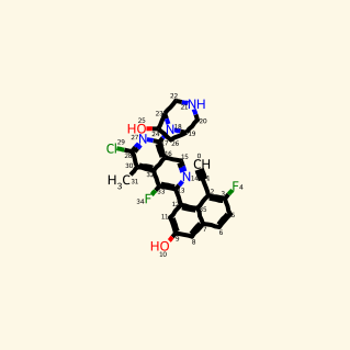 C#Cc1c(F)ccc2cc(O)cc(-c3ncc4c(N5C6CNCC5C(O)C6)nc(Cl)c(C)c4c3F)c12